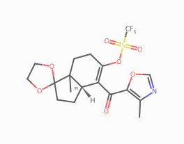 Cc1ncoc1C(=O)C1=C(OS(=O)(=O)C(F)(F)F)CCC2(C)[C@H]1CCC21OCCO1